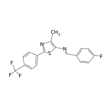 Cc1nc(-c2ccc(C(F)(F)F)cc2)sc1N=Cc1ccc(F)cc1